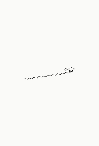 CCCCCCCCCCCCCCCCCCC(O)CN1C=NCC1